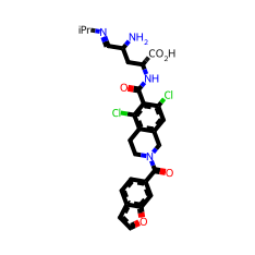 CC(C)/N=C/C(N)CC(NC(=O)c1c(Cl)cc2c(c1Cl)CCN(C(=O)c1ccc3ccoc3c1)C2)C(=O)O